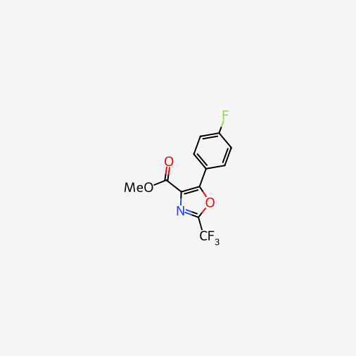 COC(=O)c1nc(C(F)(F)F)oc1-c1ccc(F)cc1